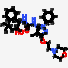 Cc1c(OCCN2CCOCC2)nn(-c2ccccc2)c1NC(=O)N[C@@H]1c2ccccc2C(C)(C)C[C@H]1O